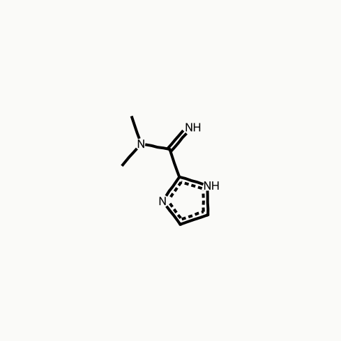 CN(C)C(=N)c1ncc[nH]1